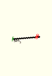 C=CC(=O)OCCCCCCCCCCCCCCCCCCCC(F)(F)[SiH3]